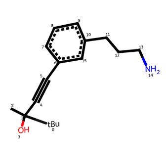 CC(C)(C)C(C)(O)C#Cc1cccc(CCCN)c1